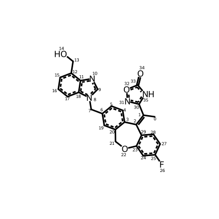 CC(=C1c2ccc(Cn3cnc4c(CO)cccc43)cc2COc2cc(F)ccc21)c1noc(=O)[nH]1